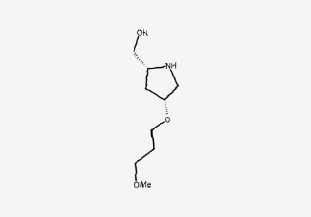 COCCCO[C@H]1CN[C@@H](CO)C1